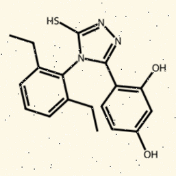 CCc1cccc(CC)c1-n1c(S)nnc1-c1ccc(O)cc1O